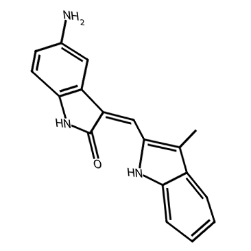 Cc1c(C=C2C(=O)Nc3ccc(N)cc32)[nH]c2ccccc12